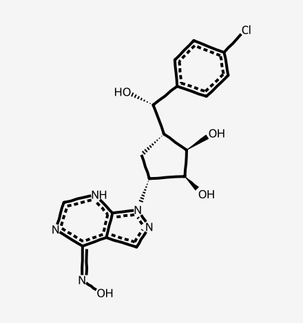 O/N=c1/nc[nH]c2c1cnn2[C@@H]1C[C@H]([C@H](O)c2ccc(Cl)cc2)[C@@H](O)[C@H]1O